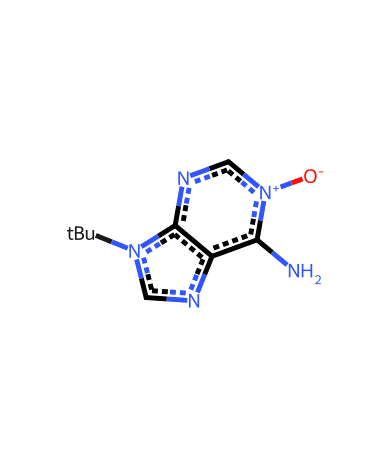 CC(C)(C)n1cnc2c(N)[n+]([O-])cnc21